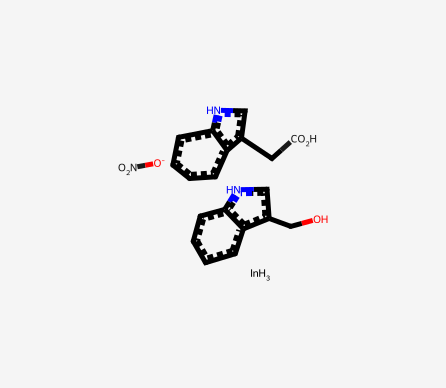 O=C(O)Cc1c[nH]c2ccccc12.O=[N+]([O-])[O-].OCc1c[nH]c2ccccc12.[InH3]